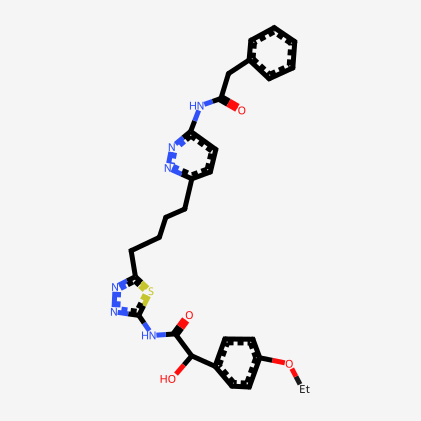 CCOc1ccc(C(O)C(=O)Nc2nnc(CCCCc3ccc(NC(=O)Cc4ccccc4)nn3)s2)cc1